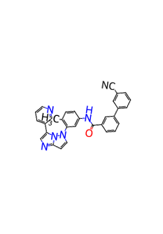 Cc1ccc(NC(=O)c2cccc(-c3cccc(C#N)c3)c2)cc1-n1ccc2ncc(-c3cccnc3)n21